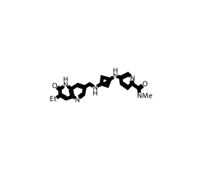 CCc1cc2ncc(CNC34CC(Nc5ccc(C(=O)NC)nc5)(C3)C4)cc2[nH]c1=O